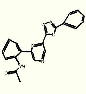 CC(=O)Nc1ccccc1-c1cncc(-c2nnc(-c3ccccc3)o2)n1